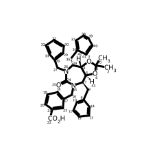 CC1(C)O[C@@H]2[C@@H](O1)[C@@H](Cc1ccccc1)N(Cc1cccc(C(=O)O)c1)C(=O)N(Cc1ccccc1)[C@@H]2Cc1ccccc1